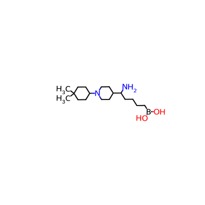 CC1(C)CCC(N2CCC(C(N)CCCCB(O)O)CC2)CC1